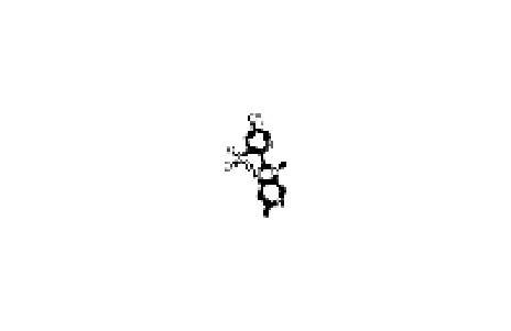 CCS(=O)(=O)c1cc(C(F)(F)F)cnc1-c1nc2cc(C)ncc2n1C